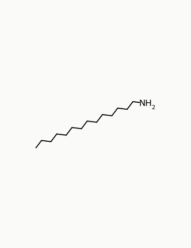 CCCCCCCCCCCCCCN